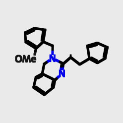 COc1ccccc1CN1Cc2ccccc2N=C1[CH]Cc1ccccc1